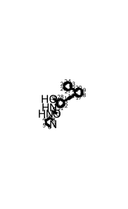 O=C(Nc1cccnc1)Nc1ccc(C#Cc2ccccc2-c2ccccc2)cc1O